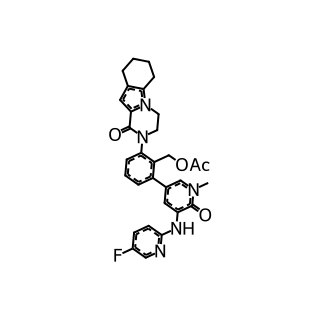 CC(=O)OCc1c(-c2cc(Nc3ccc(F)cn3)c(=O)n(C)c2)cccc1N1CCn2c(cc3c2CCCC3)C1=O